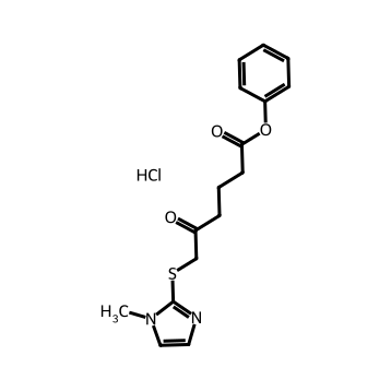 Cl.Cn1ccnc1SCC(=O)CCCC(=O)Oc1ccccc1